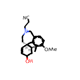 COc1ccc2c(c1C)[C@@]1(C=CC(O)C[C@@H]1C)CCN(CCC#N)C2